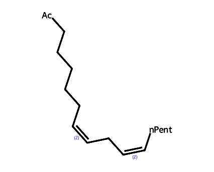 CCCCC/C=C\C/C=C\CCCCCC(C)=O